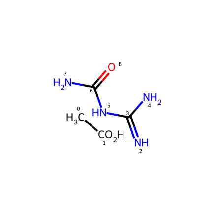 CC(=O)O.N=C(N)NC(N)=O